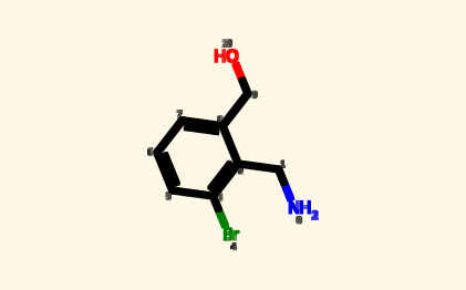 NCc1c(Br)cccc1CO